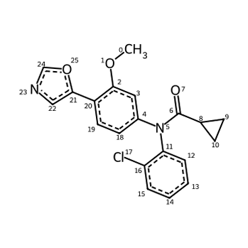 COc1cc(N(C(=O)C2CC2)c2ccccc2Cl)ccc1-c1cnco1